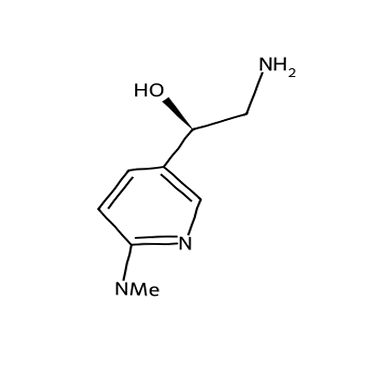 CNc1ccc([C@@H](O)CN)cn1